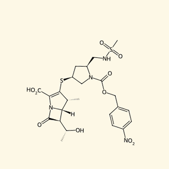 C[C@@H](O)[C@H]1C(=O)N2C(C(=O)O)=C(S[C@H]3C[C@@H](CNS(C)(=O)=O)N(C(=O)OCc4ccc([N+](=O)[O-])cc4)C3)[C@H](C)[C@H]12